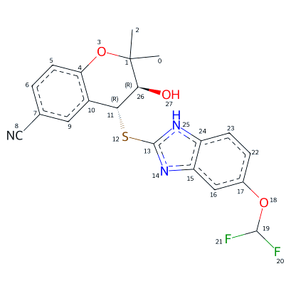 CC1(C)Oc2ccc(C#N)cc2[C@@H](Sc2nc3cc(OC(F)F)ccc3[nH]2)[C@@H]1O